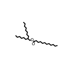 CCCCCCCCCCCC(=O)OCC(CCCCCC)CCCCCCCC